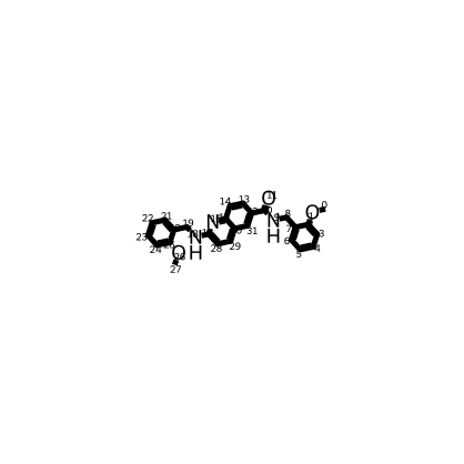 COc1ccccc1CNC(=O)c1ccc2nc(NCc3ccccc3OC)ccc2c1